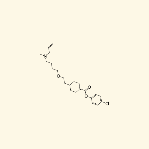 C=CCN(C)CCCCOCCC1CCN(C(=O)Oc2ccc(Cl)cc2)CC1